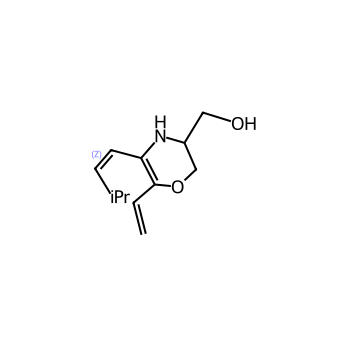 C=CC1=C(/C=C\C(C)C)NC(CO)CO1